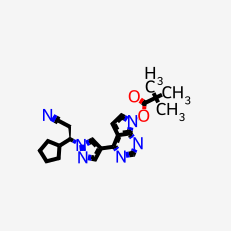 CC(C)(C)C(=O)On1ccc2c(-c3cnn([C@H](CC#N)C4CCCC4)c3)ncnc21